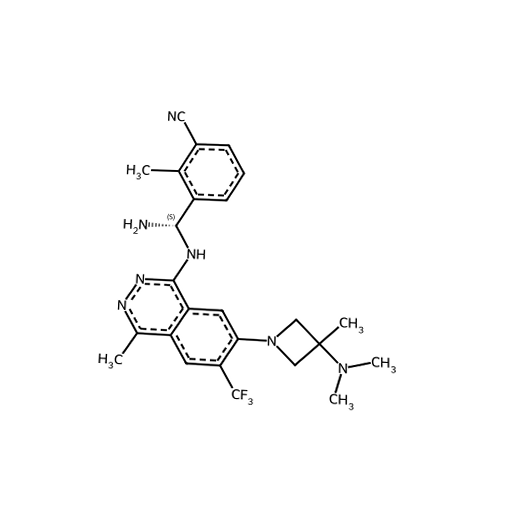 Cc1c(C#N)cccc1[C@@H](N)Nc1nnc(C)c2cc(C(F)(F)F)c(N3CC(C)(N(C)C)C3)cc12